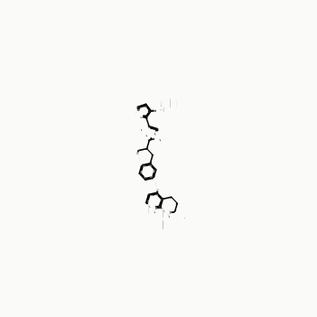 COc1ccsc1-c1c[nH]c(C2COc3ccc(Oc4ccnc5c4CCC(=O)N5)cc3C2)n1